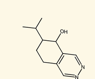 CC(C)C1CCc2cnncc2C1O